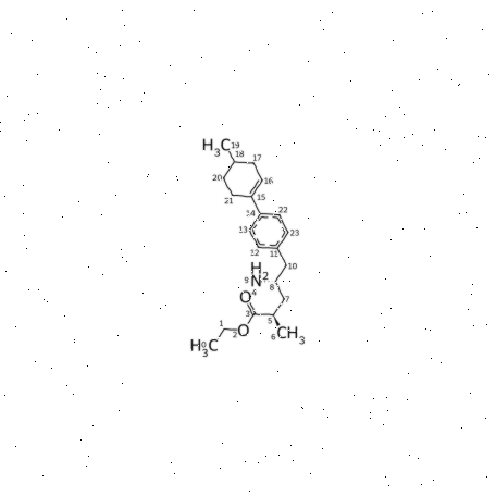 CCOC(=O)[C@H](C)C[C@H](N)Cc1ccc(C2=CCC(C)CC2)cc1